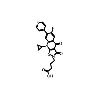 O=C(O)CCCn1sc2c(c(=O)c3cc(F)c(-c4ccncc4)cc3n2C2CC2)c1=O